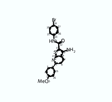 COc1ccc(-c2ccc3c(N)c(C(=O)Nc4ccc(Br)cc4)sc3n2)cc1